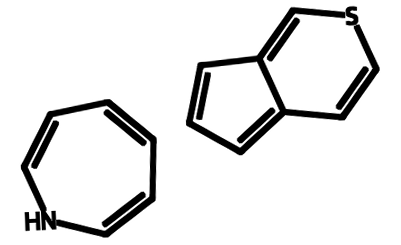 C1=CC=CNC=C1.c1cc2ccscc-2c1